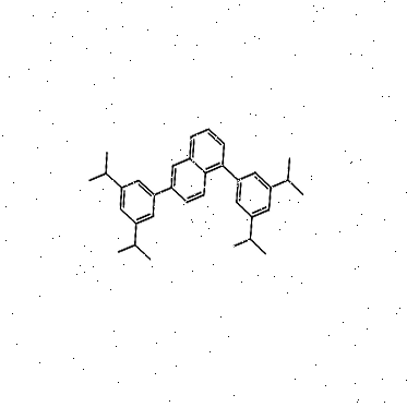 CC(C)c1cc(-c2ccc3c(-c4cc(C(C)C)cc(C(C)C)c4)cccc3c2)cc(C(C)C)c1